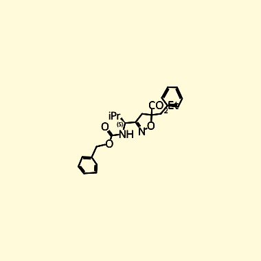 CCOC(=O)C1(Cc2ccccc2)CC([C@@H](NC(=O)OCc2ccccc2)C(C)C)=NO1